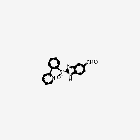 O=Cc1ccc2[nH]c([S+]([O-])c3ccccc3-c3ccccn3)nc2c1